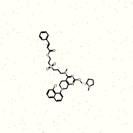 CN(CCCS(=O)(=O)CCOC(=O)/C=C/c1ccccc1)c1nc(OC[C@@H]2CCCN2C)nc2c1CCN(c1cccc3cccc(Cl)c13)C2